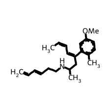 C=C/C=C/CCNC(C)C/C(=C/C=C\C)c1cc(OC)ccc1C